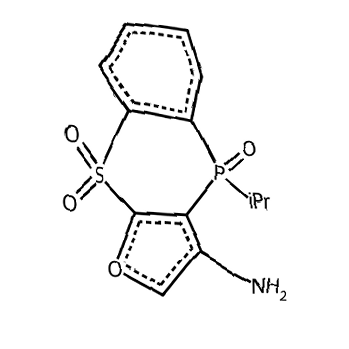 CC(C)P1(=O)c2ccccc2S(=O)(=O)c2occ(N)c21